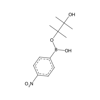 CC(C)(O)C(C)(C)OB(O)c1ccc([N+](=O)[O-])cc1